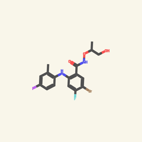 Cc1cc(I)ccc1Nc1cc(F)c(Br)cc1C(=O)NOC(C)CO